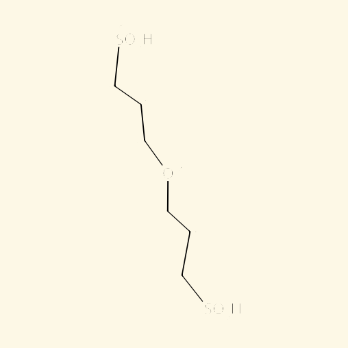 O=S(=O)(O)CCCOCCCS(=O)(=O)O